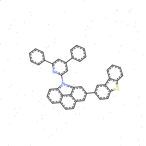 c1ccc(-c2cc(-c3ccccc3)nc(-n3c4cccc5ccc6cc(-c7ccc8sc9ccccc9c8c7)cc3c6c54)c2)cc1